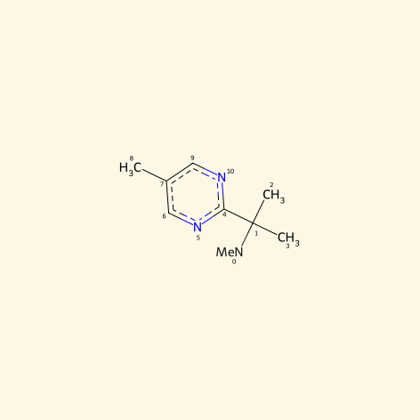 CNC(C)(C)c1ncc(C)cn1